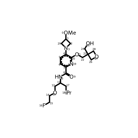 COC1CN(c2ccc(C(=O)NC(COCCF)CC(C)C)nc2OCC2(CO)COC2)C1